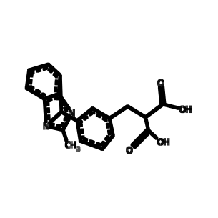 Cc1nc2c3cccc2n1C3c1cccc(CC(C(=O)O)C(=O)O)c1